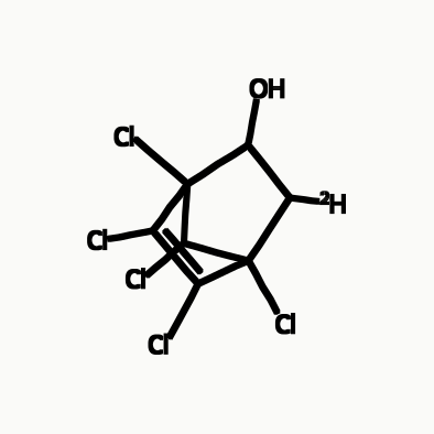 [2H]C1C(O)C2(Cl)C(Cl)=C(Cl)C1(Cl)C2Cl